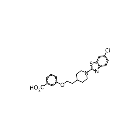 O=C(O)c1cccc(OCCC2CCN(c3nc4ccc(Cl)cc4s3)CC2)c1